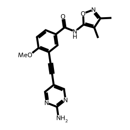 COc1ccc(C(=O)Nc2onc(C)c2C)cc1C#Cc1cnc(N)nc1